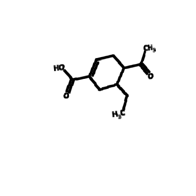 CCC1CC(C(=O)O)=CCC1C(C)=O